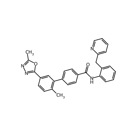 Cc1nnc(-c2ccc(C)c(-c3ccc(C(=O)Nc4ccccc4Cc4ccccn4)cc3)c2)o1